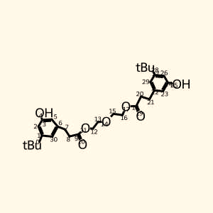 CC(C)(C)c1cc(O)cc(CCC(=O)OCCOCCOC(=O)CCc2cc(O)cc(C(C)(C)C)c2)c1